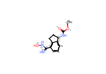 CC(C)(C)OC(=O)N[C@@H]1CCc2c(C(=N)NO)cccc21